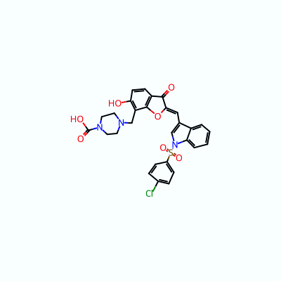 O=C1C(=Cc2cn(S(=O)(=O)c3ccc(Cl)cc3)c3ccccc23)Oc2c1ccc(O)c2CN1CCN(C(=O)O)CC1